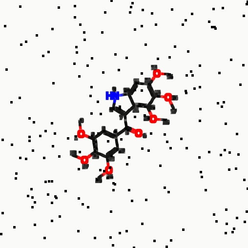 COc1cc(C(=O)c2c[nH]c3cc(OC)c(OC)c(OC)c23)cc(OC)c1OC